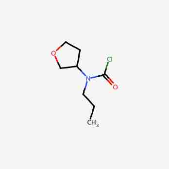 CCCN(C(=O)Cl)C1CCOC1